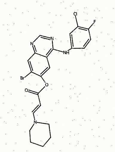 O=C(C=CN1CCCCC1)Oc1cc2c(Nc3ccc(F)c(Cl)c3)ncnc2cc1Br